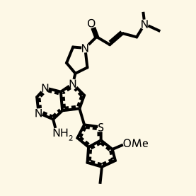 COc1cc(C)cc2cc(-c3cn(C4CCN(C(=O)/C=C/CN(C)C)C4)c4ncnc(N)c34)sc12